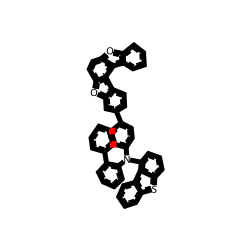 c1ccc(-c2ccccc2N(c2ccc(-c3ccc4c(c3)oc3ccc5oc6ccccc6c5c34)cc2)c2cccc3sc4ccccc4c23)cc1